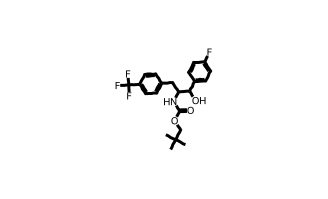 CC(C)(C)COC(=O)NC(Cc1ccc(C(F)(F)F)cc1)C(O)c1ccc(F)cc1